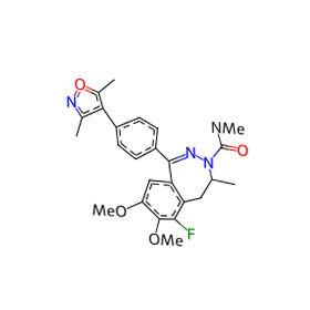 CNC(=O)N1N=C(c2ccc(-c3c(C)noc3C)cc2)c2cc(OC)c(OC)c(F)c2CC1C